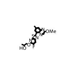 COc1cnc2c(-c3nc4cc(F)c(OCC(C)O)nc4s3)cc(C)cc2n1